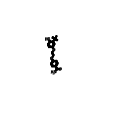 CC(C)(C)c1cc(OCCOc2ccc(C(N)=O)cc2)ccc1O